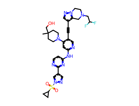 CC1(CO)CCN(c2cc(Nc3ccnc(-c4cnn(S(=O)(=O)C5CC5)c4)n3)ncc2C#Cc2cnn3c2CN(CC(F)F)CC3)CC1